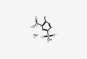 Cc1ccc(S(=O)(=O)O)cc1[N+](=O)[O-].[Na+]